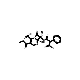 CCC(=O)C1=C(C(=O)O)N2C(=O)C(NC(=O)C(C(=O)O)c3ccccc3)(OC)[C@@H]2SC1